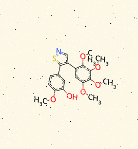 COc1ccc(-c2sncc2-c2cc(OC)c(OC)c(OC)c2OC)cc1O